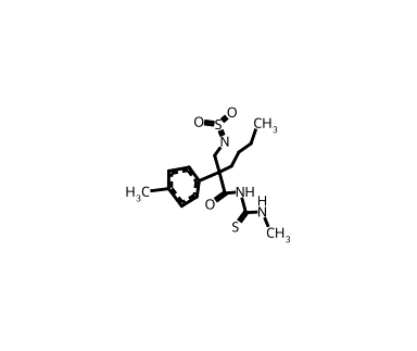 CCCCC(CN=S(=O)=O)(C(=O)NC(=S)NC)c1ccc(C)cc1